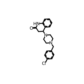 O=C1CC(N2CCN(Cc3ccc(Cl)cc3)CC2)c2ccccc2N1